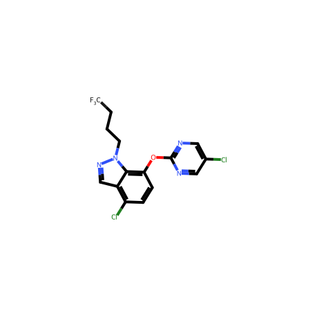 FC(F)(F)CCCn1ncc2c(Cl)ccc(Oc3ncc(Cl)cn3)c21